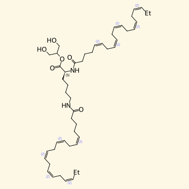 CC/C=C\C/C=C\C/C=C\C/C=C\C/C=C\CCCC(=O)NCCCC[C@H](NC(=O)CCC/C=C\C/C=C\C/C=C\C/C=C\C/C=C\CC)C(=O)OC(CO)CO